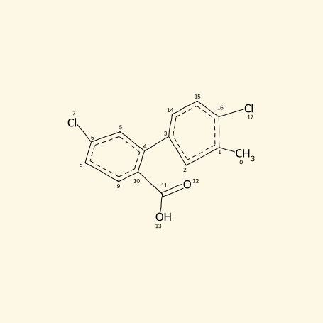 Cc1cc(-c2cc(Cl)ccc2C(=O)O)ccc1Cl